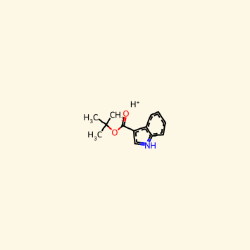 CC(C)(C)OC(=O)c1c[nH]c2ccccc12.[H+]